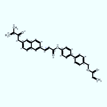 C=CC(=O)OCc1ccc(-c2ccc(OC(=O)/C=C/c3ccc4cc(CC(=O)C(=C)C)ccc4c3)cc2)cc1